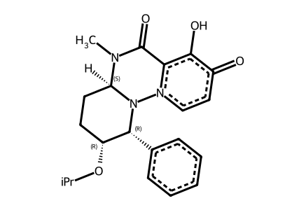 CC(C)O[C@@H]1CC[C@H]2N(C)C(=O)c3c(O)c(=O)ccn3N2[C@@H]1c1ccccc1